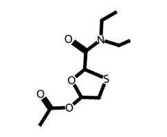 CCN(CC)C(=O)C1OC(OC(C)=O)CS1